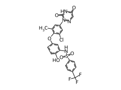 Cc1cc(-n2ncc(=O)[nH]c2=O)cc(Cl)c1Oc1ccc(O)c(NS(=O)(=O)c2ccc(C(F)(F)F)cc2)c1